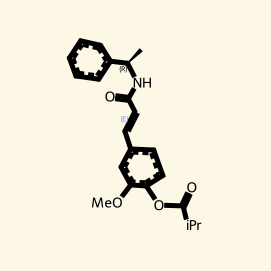 COc1cc(/C=C/C(=O)N[C@H](C)c2ccccc2)ccc1OC(=O)C(C)C